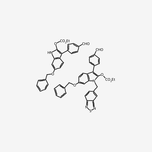 CCOC(=O)Oc1[nH]c2cc(OCc3ccccc3)ccc2c1-c1ccc(C=O)cc1.CCOC(=O)Oc1c(-c2ccc(C=O)cc2)c2ccc(OCc3ccccc3)cc2n1Cc1ccc2nsnc2c1